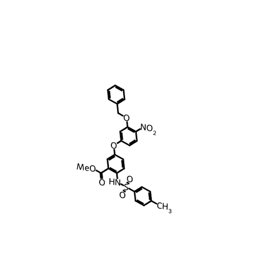 COC(=O)c1cc(Oc2ccc([N+](=O)[O-])c(OCc3ccccc3)c2)ccc1NS(=O)(=O)c1ccc(C)cc1